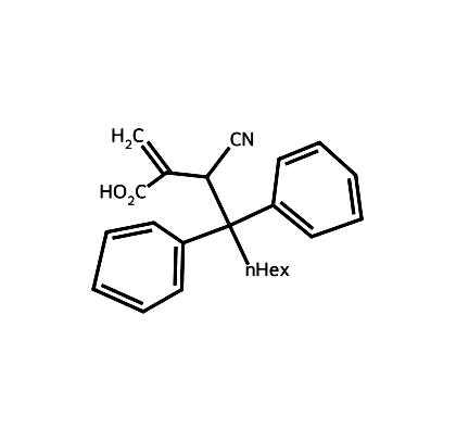 C=C(C(=O)O)C(C#N)C(CCCCCC)(c1ccccc1)c1ccccc1